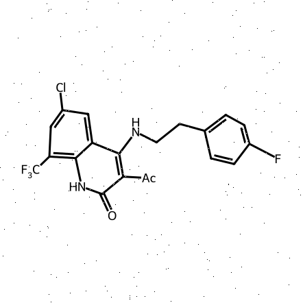 CC(=O)c1c(NCCc2ccc(F)cc2)c2cc(Cl)cc(C(F)(F)F)c2[nH]c1=O